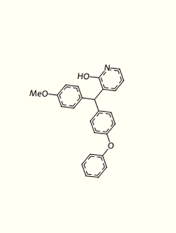 COc1ccc(C(c2ccc(Oc3ccccc3)cc2)c2cccnc2O)cc1